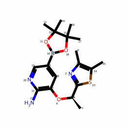 Cc1nc([C@@H](C)Oc2cc(B3OC(C)(C)C(C)(C)O3)cnc2N)sc1C